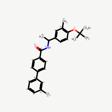 CCOC(=O)C(C)(C)Oc1ccc(C(C)NC(=O)c2ccc(-c3cccc(C(F)(F)F)c3)cc2)cc1C